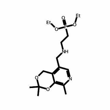 CCOP(=O)(CCNCc1cnc(C)c2c1COC(C)(C)O2)OCC